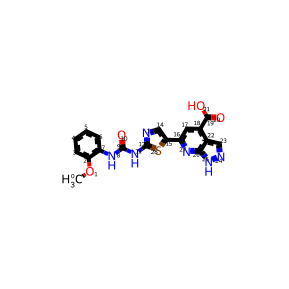 COc1ccccc1NC(=O)Nc1ncc(-c2cc(C(=O)O)c3cn[nH]c3n2)s1